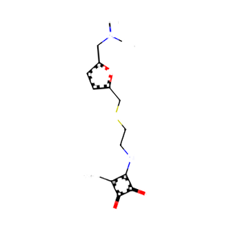 COc1c(NCCSCc2ccc(CN(C)C)o2)c(=O)c1=O